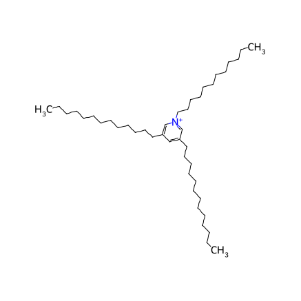 CCCCCCCCCCCCCc1cc(CCCCCCCCCCCCC)c[n+](CCCCCCCCCCCC)c1